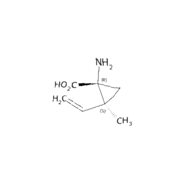 C=C[C@]1(C)C[C@]1(N)C(=O)O